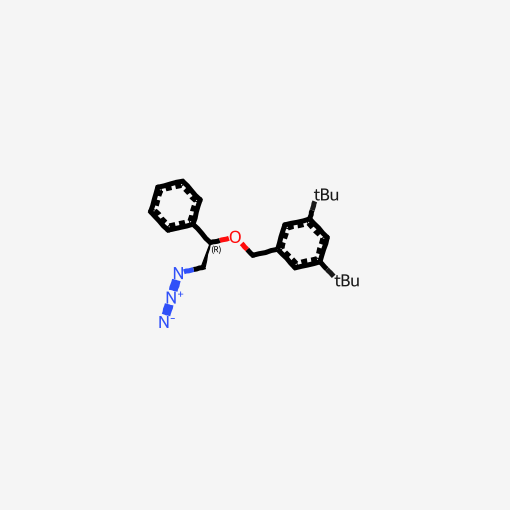 CC(C)(C)c1cc(CO[C@@H](CN=[N+]=[N-])c2ccccc2)cc(C(C)(C)C)c1